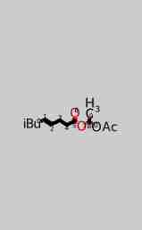 CCC(C)/C=C/CCC(=O)OC(C)OC(C)=O